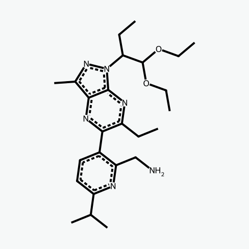 CCOC(OCC)C(CC)n1nc(C)c2nc(-c3ccc(C(C)C)nc3CN)c(CC)nc21